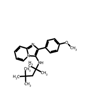 COc1ccc(-c2nc3ccccn3c2NC(C)(C)CC(C)(C)C)cc1